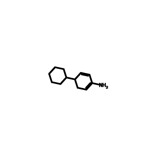 NC1=CCC(C2CCCCC2)C=C1